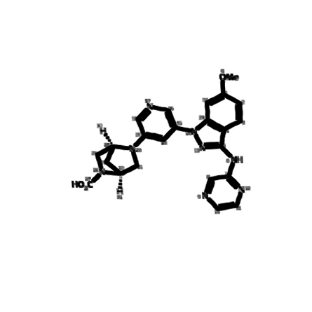 COc1ccc2c(Nc3cnccn3)nn(-c3cncc(N4C[C@@H]5C[C@H]4CN5C(=O)O)c3)c2c1